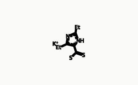 CCc1nc(CC)c(C(=S)[S-])[nH]1.[K+]